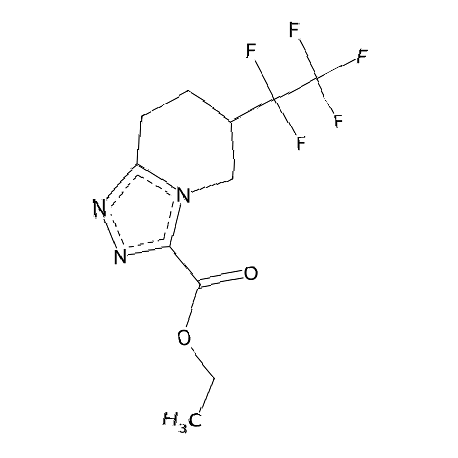 CCOC(=O)c1nnc2n1CC(C(F)(F)C(F)(F)F)CC2